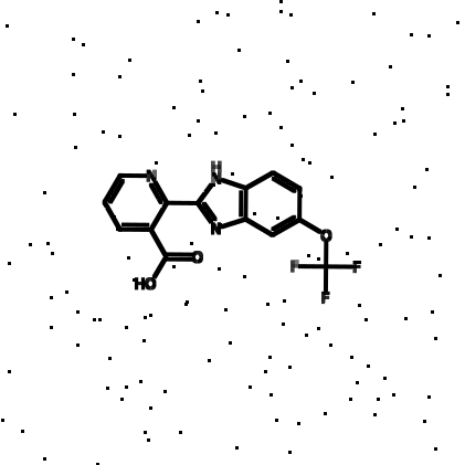 O=C(O)c1cccnc1-c1nc2cc(OC(F)(F)F)ccc2[nH]1